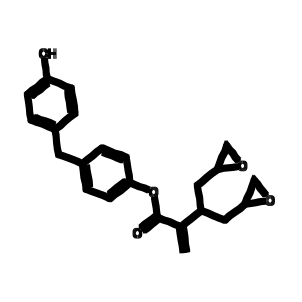 C=C(C(=O)Oc1ccc(Cc2ccc(O)cc2)cc1)C(CC1CO1)CC1CO1